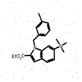 CCOC(=O)c1cc2ccc([Si](C)(C)C)cc2n1Cc1cccc(C)c1